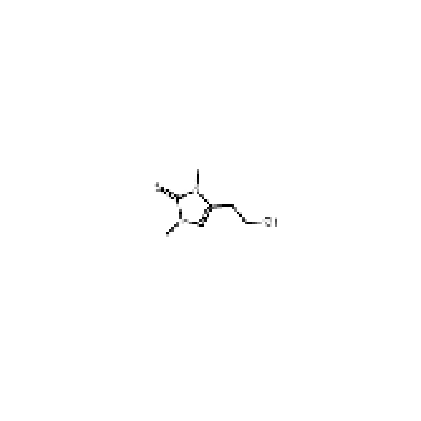 Cn1cc(CCO)n(C)c1=S